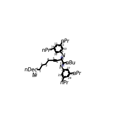 CCCCCCCCCCCCCCC#CC(=N\c1cc(CCC)cc(CCC)c1)/C(CCCC)=N/c1cc(CCC)cc(CCC)c1.[Ni]